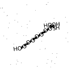 OCCOCCOCCOCCOCCOCCOCCOC(O)C(O)S